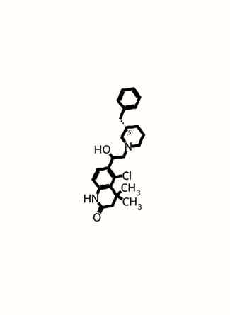 CC1(C)CC(=O)Nc2ccc(C(O)CN3CCC[C@@H](Cc4ccccc4)C3)c(Cl)c21